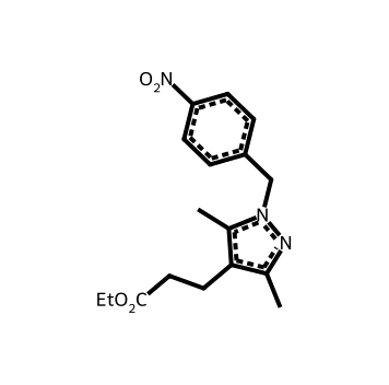 CCOC(=O)CCc1c(C)nn(Cc2ccc([N+](=O)[O-])cc2)c1C